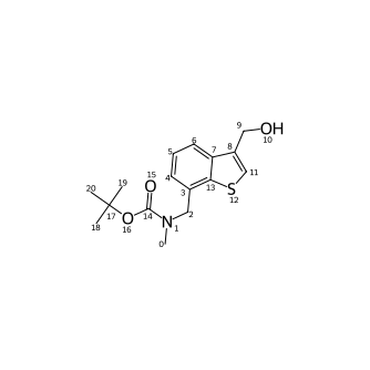 CN(Cc1cccc2c(CO)csc12)C(=O)OC(C)(C)C